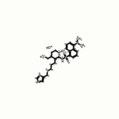 CCC1CC[NH+]([O-])C(NS(=O)(=O)c2cccc3c(N(C)C)cccc23)C1CCCSCc1c[nH]cn1.Cl